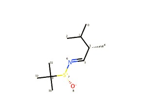 CC(C)[C@H](C)/C=N/[S@+]([O-])C(C)(C)C